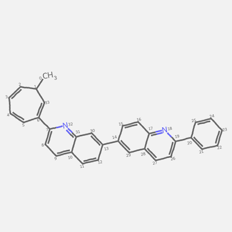 CC1C=CC=CC(c2ccc3ccc(-c4ccc5nc(-c6ccccc6)ccc5c4)cc3n2)=C1